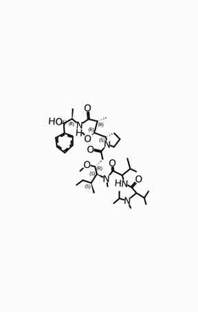 CC[C@H](C)[C@@H]([C@@H](CC(=O)N1CCC[C@H]1[C@H](OC)[C@@H](C)C(=O)N[C@H](C)[C@@H](O)c1ccccc1)OC)N(C)C(=O)C(NC(=O)C(C(C)C)N(C)C(C)C)C(C)C